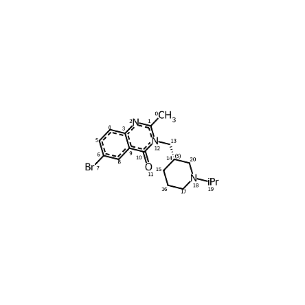 Cc1nc2ccc(Br)cc2c(=O)n1C[C@H]1CCCN(C(C)C)C1